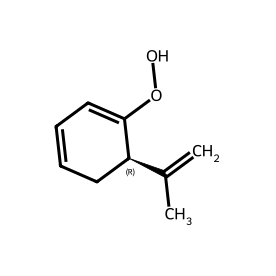 C=C(C)[C@H]1CC=CC=C1OO